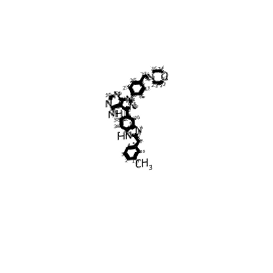 Cc1cccc(Cc2nc3cc(-c4nn(-c5ccc(CN6CCOCC6)cc5)c5ncnc(N)c45)ccc3[nH]2)c1